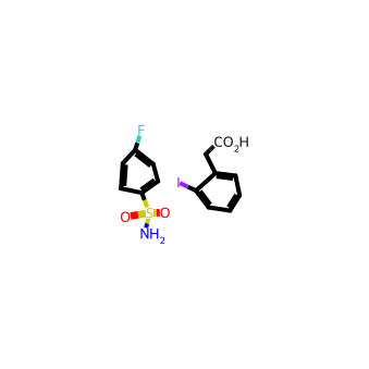 NS(=O)(=O)c1ccc(F)cc1.O=C(O)Cc1ccccc1I